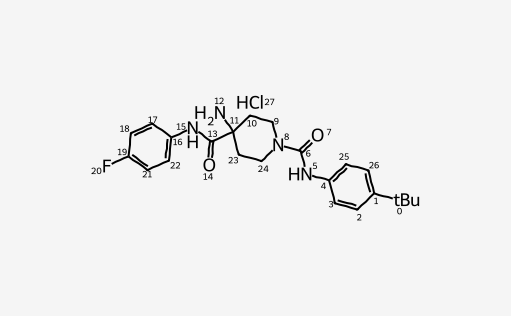 CC(C)(C)c1ccc(NC(=O)N2CCC(N)(C(=O)Nc3ccc(F)cc3)CC2)cc1.Cl